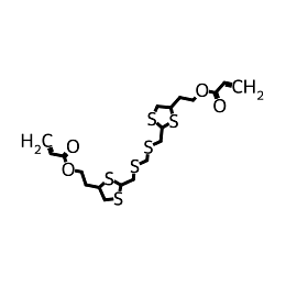 C=CC(=O)OCCC1CSC(CSCSCC2SCC(CCOC(=O)C=C)S2)S1